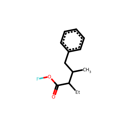 CCC(C(=O)OF)C(C)Cc1ccccc1